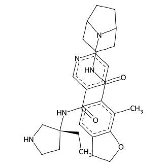 CC[C@@]1(NC(=O)c2ccc(N3C4CCC3CC(NC(=O)c3ccc5c(c3C)OCC5)C4)nc2)CCNC1